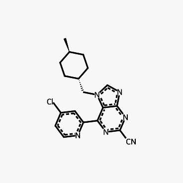 C[C@H]1CC[C@H](Cn2cnc3nc(C#N)nc(-c4cc(Cl)ccn4)c32)CC1